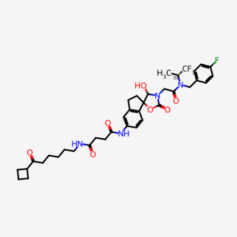 C[C@H](N(Cc1ccc(F)cc1)C(=O)CN1C(=O)OC2(CCc3cc(NC(=O)CCC(=O)NCCCCCC(=O)C4CCC4)ccc32)C1O)C(F)(F)F